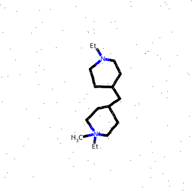 CCN1CCC(CC2CC[N+](C)(CC)CC2)CC1